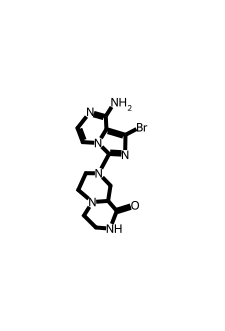 Nc1nccn2c(N3CCN4CCNC(=O)C4C3)nc(Br)c12